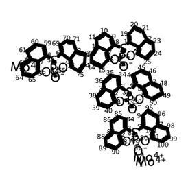 [Mo+4].[Mo+4].[Mo+4].[O-]P([O-])([O-])=S(c1cccc2ccccc12)c1cccc2ccccc12.[O-]P([O-])([O-])=S(c1cccc2ccccc12)c1cccc2ccccc12.[O-]P([O-])([O-])=S(c1cccc2ccccc12)c1cccc2ccccc12.[O-]P([O-])([O-])=S(c1cccc2ccccc12)c1cccc2ccccc12